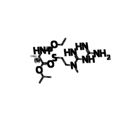 CCO[P@](N[C@@H](C)C(=O)OC(C)C)SCCN(C)C(=N)NC(=N)N